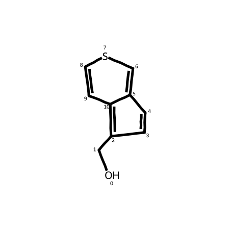 OCc1ccc2csccc1-2